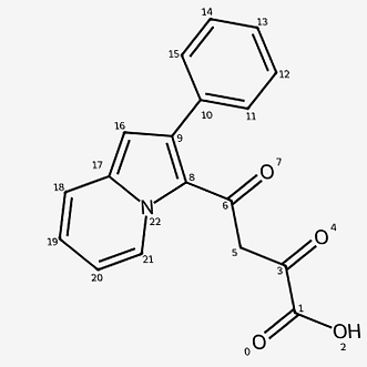 O=C(O)C(=O)CC(=O)c1c(-c2ccccc2)cc2ccccn12